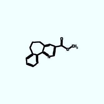 COC(=O)c1cnc2c(c1)CCCc1ccccc1-2